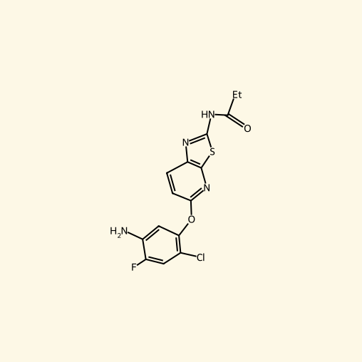 CCC(=O)Nc1nc2ccc(Oc3cc(N)c(F)cc3Cl)nc2s1